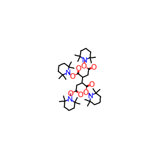 CC1(C)CCCC(C)(C)N1OC(=O)CC(C(=O)ON1C(C)(C)CCCC1(C)C)C(CC(=O)ON1C(C)(C)CCCC1(C)C)C(=O)ON1C(C)(C)CCCC1(C)C